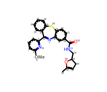 COc1cccc(C2=Nc3cc(C(=O)NCC4CC=C(C)O4)ccc3Sc3ccccc32)n1